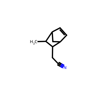 CC1C2C=CC(C2)C1CC#N